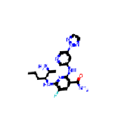 CCCC(Nc1nc(Nc2cncc(-n3nccn3)c2)c(C(N)=O)cc1F)C(C)N